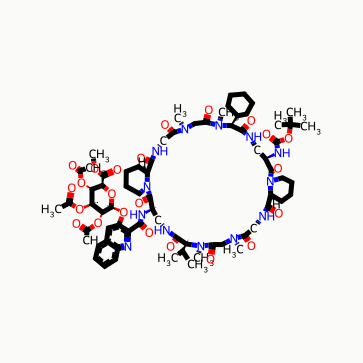 COC(=O)[C@H]1O[C@@H](Oc2cc3ccccc3nc2C(=O)N[C@@H]2CNC(=O)[C@H](C(C)C)N(C)C(=O)CN(C)C(=O)CNC(=O)[C@@H]3CCCCN3C(=O)[C@H](NC(=O)OC(C)(C)C)CNC(=O)[C@H](C3CCCCC3)N(C)C(=O)CN(C)C(=O)CNC(=O)[C@@H]3CCCCN3C2=O)[C@H](OC(C)=O)[C@@H](OC(C)=O)[C@@H]1OC(C)=O